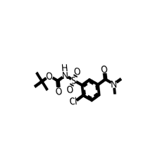 CN(C)C(=O)c1ccc(Cl)c(S(=O)(=O)NC(=O)OC(C)(C)C)c1